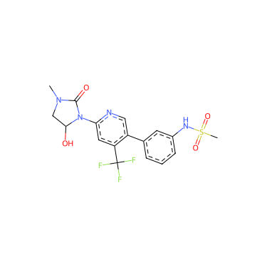 CN1CC(O)N(c2cc(C(F)(F)F)c(-c3cccc(NS(C)(=O)=O)c3)cn2)C1=O